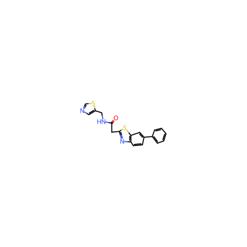 O=C(Cc1nc2ccc(-c3ccccc3)cc2s1)NCc1cncs1